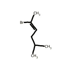 C[C](C)CC=C(C)Br